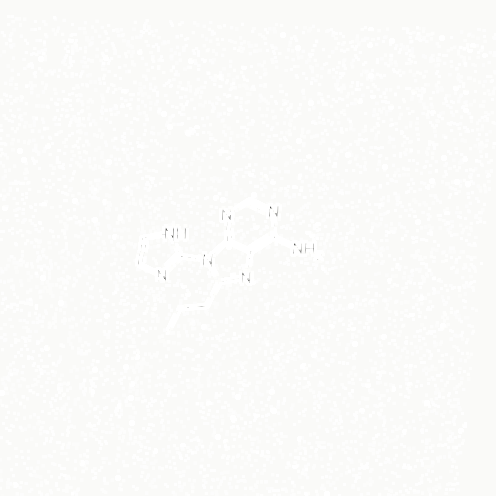 CCCc1nc2c(N)ncnc2n1-c1ncc[nH]1